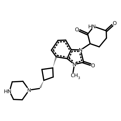 Cn1c(=O)n(C2CCC(=O)NC2=O)c2cccc([C@H]3C[C@@H](CN4CCNCC4)C3)c21